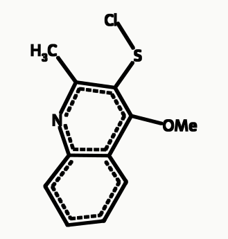 COc1c(SCl)c(C)nc2ccccc12